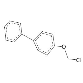 ClCOc1ccc(-c2cc[c]cc2)cc1